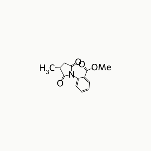 COC(=O)c1ccccc1N1C(=O)CC(C)C1=O